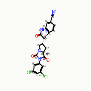 N#Cc1ccc(CC(C(N)=O)[C@@H]2C[C@H]3C(=O)N(c4cc(Cl)cc(Cl)c4)C(=O)N3C2)cc1